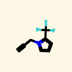 C#CCn1cccc1C(F)(F)F